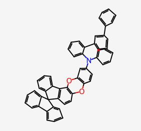 c1ccc(-c2cccc(-c3ccccc3N(c3ccccc3)c3ccc4c(c3)Oc3c(ccc5c3-c3ccccc3C53c5ccccc5-c5ccccc53)O4)c2)cc1